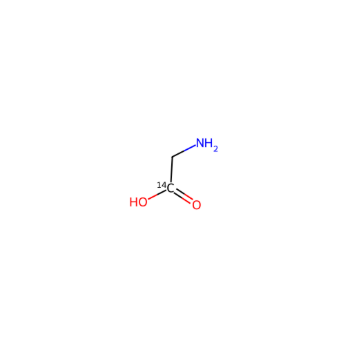 NC[14C](=O)O